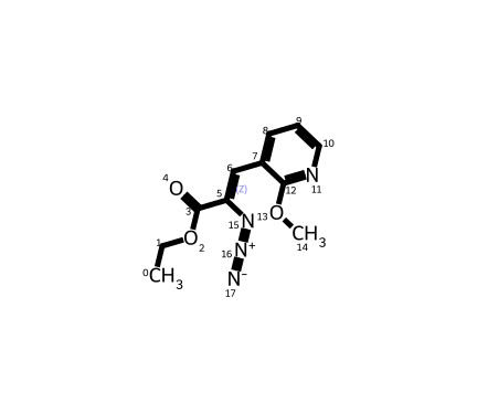 CCOC(=O)/C(=C/c1cccnc1OC)N=[N+]=[N-]